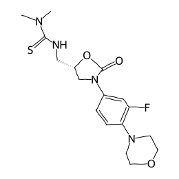 CN(C)C(=S)NC[C@H]1CN(c2ccc(N3CCOCC3)c(F)c2)C(=O)O1